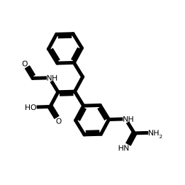 N=C(N)Nc1cccc(C(Cc2ccccc2)=C(NC=O)C(=O)O)c1